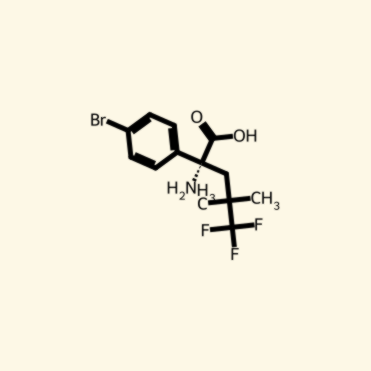 CC(C)(C[C@](N)(C(=O)O)c1ccc(Br)cc1)C(F)(F)F